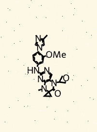 COc1cc(Nc2ncc3c(n2)N(C)C2(CC2)C(=O)N3C2COC2)ccc1-n1cnc(C)c1